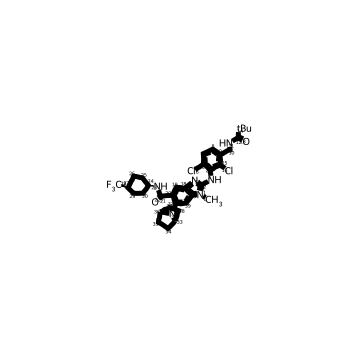 Cn1c(Nc2c(Cl)ccc(CNC(=O)C(C)(C)C)c2Cl)nc2cc(C(=O)N[C@H]3CC[C@H](C(F)(F)F)CC3)c(N3C4CCC3CC4)cc21